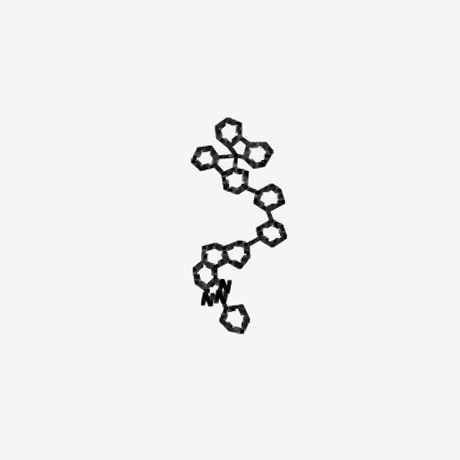 c1ccc(-n2nc3ccc4ccc5cc(-c6cccc(-c7cccc(-c8ccc9c(c8)C8(c%10ccccc%10-c%10ccccc%108)c8ccccc8-9)c7)c6)ccc5c4c3n2)cc1